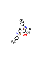 CCCCc1nc(-c2ccc(C(F)(F)F)cc2)sc1CC(O)C(C#N)c1sc(-c2ccc(C(F)(F)F)cc2)nc1CCCC